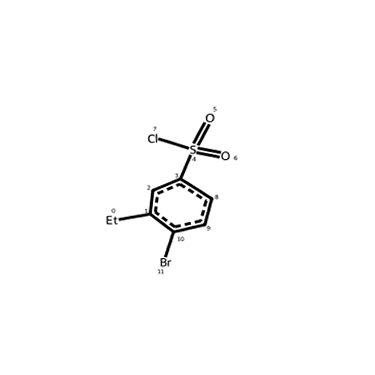 CCc1cc(S(=O)(=O)Cl)ccc1Br